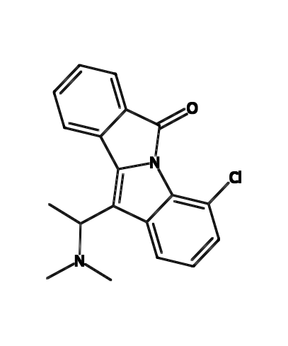 CC(c1c2n(c3c(Cl)cccc13)C(=O)c1ccccc1-2)N(C)C